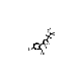 COC(=O)C(C)(C)c1cc(-c2ccc(Br)cc2CO)n(C)n1